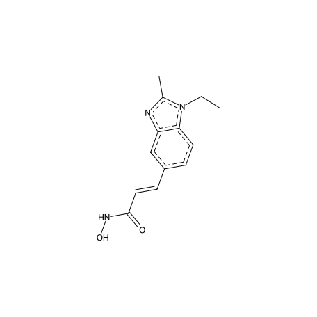 CCn1c(C)nc2cc(C=CC(=O)NO)ccc21